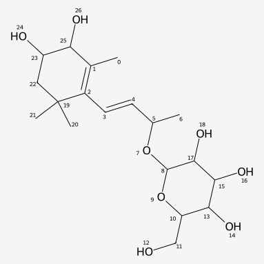 CC1=C(/C=C/C(C)OC2OC(CO)C(O)C(O)C2O)C(C)(C)CC(O)C1O